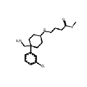 COC(=O)CCCNC1CCC(CN)(c2cccc(Cl)c2)CC1